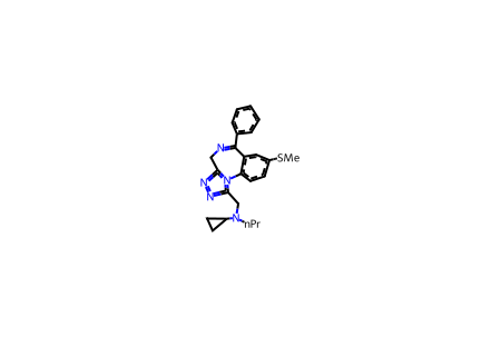 CCCN(Cc1nnc2n1-c1ccc(SC)cc1C(c1ccccc1)=NC2)C1CC1